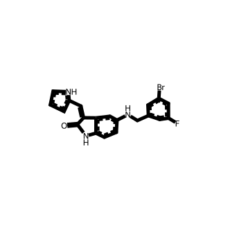 O=C1Nc2ccc(NCc3cc(F)cc(Br)c3)cc2/C1=C/c1ccc[nH]1